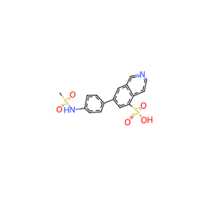 CS(=O)(=O)Nc1ccc(-c2cc(S(=O)(=O)O)c3ccncc3c2)cc1